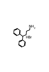 Br.NCCCC(c1ccccc1)c1ccccc1